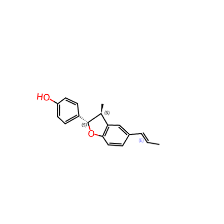 C/C=C/c1ccc2c(c1)[C@H](C)[C@@H](c1ccc(O)cc1)O2